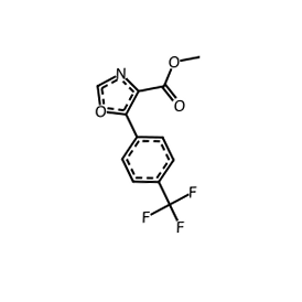 COC(=O)c1ncoc1-c1ccc(C(F)(F)F)cc1